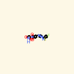 O=C1CCC(N2C(=O)c3ccc(CN4CCN(c5nsc6cc(F)ccc56)CC4)cc3C2=O)C(=O)N1